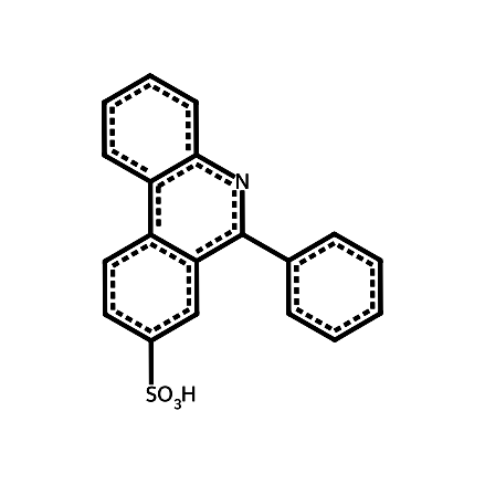 O=S(=O)(O)c1ccc2c(c1)c(-c1ccccc1)nc1ccccc12